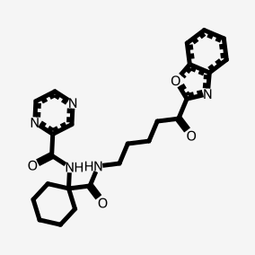 O=C(NC1(C(=O)NCCCCC(=O)c2nc3ccccc3o2)CCCCC1)c1cnccn1